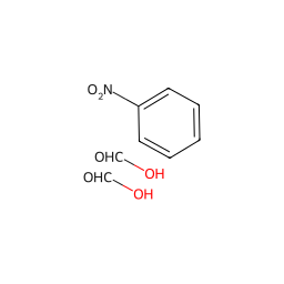 O=CO.O=CO.O=[N+]([O-])c1ccccc1